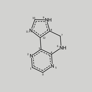 c1cnc2c(n1)NCc1[nH]cnc1-2